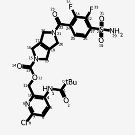 CC(C)(C)C(=O)Nc1ccc(Cl)nc1COC(=O)N1CC2=C(C1)CN(C(=O)c1ccc(S(N)(=O)=O)c(F)c1F)C2